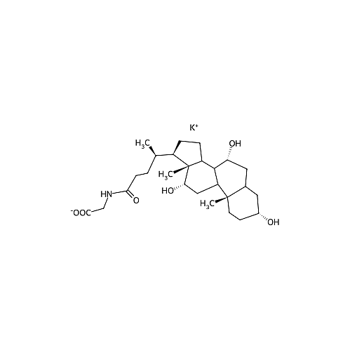 C[C@H](CCC(=O)NCC(=O)[O-])[C@H]1CCC2C3C(C[C@H](O)[C@@]21C)[C@@]1(C)CC[C@@H](O)CC1C[C@H]3O.[K+]